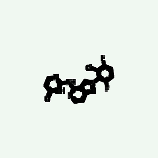 O=c1ccnc(Nc2nccc3nn(-c4c(F)ccc(F)c4Cl)cc23)[nH]1